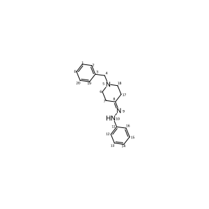 c1ccc(CN2CCC(=NNc3ccccc3)CC2)cc1